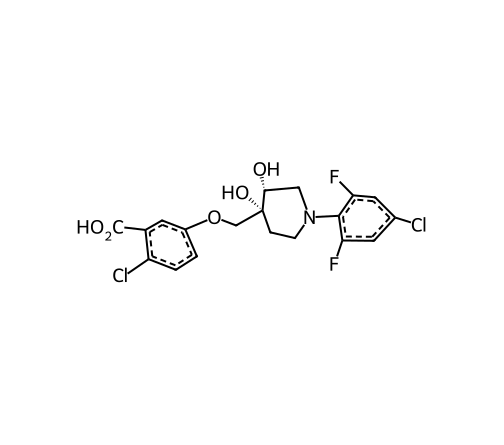 O=C(O)c1cc(OC[C@]2(O)CCN(c3c(F)cc(Cl)cc3F)C[C@H]2O)ccc1Cl